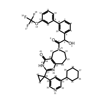 O=C(C(O)c1cccc(-c2cccc(OC(F)(F)F)c2)c1)N1CCCc2nc(C3(c4cncc(C5CCCCC5)c4)CC3)[nH]c(=O)c2C1